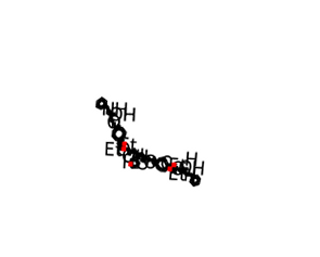 CCC(CC)(CC1(C)CCCC(C)(COCC(O)CN(CC(O)COC(CC)(CC)CC2(C)CCCC(C)(COCC(O)CNC3CCCCC3)CCC2)C2CCCCC2)CCC1)OCC(O)CNC1CCCCC1